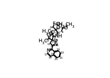 COC(=O)C[C@H](NC(=O)C1(C(C)C)CC(c2nccc3ccccc23)=NO1)C(CF)(OC)OC